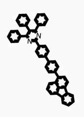 c1ccc(-c2nc(-c3ccc(-c4ccc(-c5ccc6c7c(cccc57)-c5ccccc5-6)cc4)cc3)nc(-c3ccccc3)c2-c2ccccc2)cc1